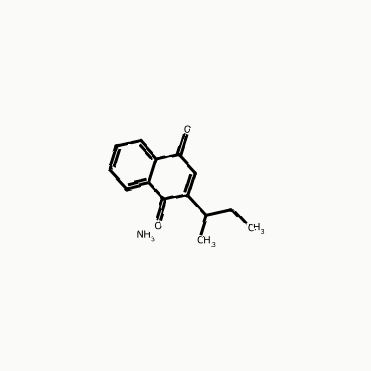 CCC(C)C1=CC(=O)c2ccccc2C1=O.N